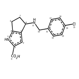 O=C(O)c1cc2c([nH]1)CCC2NCc1ccc(Cl)cc1